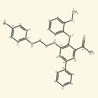 COc1ccccc1Oc1c(OCCOc2ncc(Br)cn2)nc(-c2ccncc2)nc1C(N)=O